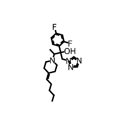 CCCCC=C1CCN(C(C)C(O)(Cn2cncn2)c2ccc(F)cc2F)CC1